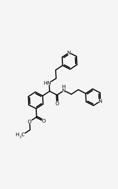 CCOC(=O)c1cccc(C(NCCc2cccnc2)C(=O)NCCc2ccncc2)c1